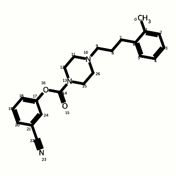 Cc1ccccc1CCCN1CCN(C(=O)Oc2cccc(C#N)c2)CC1